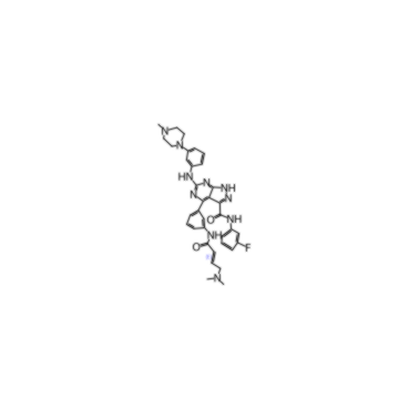 CN(C)C/C=C/C(=O)Nc1cccc(-c2nc(Nc3cccc(N4CCN(C)CC4)c3)nc3[nH]nc(C(=O)Nc4cccc(F)c4)c23)c1